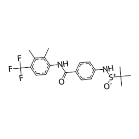 Cc1c(NC(=O)c2ccc(N[S+]([O-])C(C)(C)C)cc2)ccc(C(F)(F)F)c1C